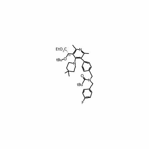 CCOC(=O)[C@@H](OC(C)(C)C)c1c(C)nc(C)c(-c2ccc(CN(Cc3ccc(F)cc3)C(=O)C(C)(C)C)cc2)c1N1CCC(C)(C)CC1